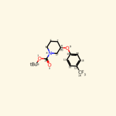 CC(C)(C)OC(=O)N1CCC[C@@H](Oc2ccc(C(F)(F)F)cc2)C1